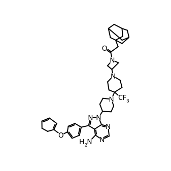 Nc1ncnc2c1c(-c1ccc(OC3=CC=CCC3)cc1)nn2C1CCN(C2(C(F)(F)F)CCN(C3CN(C(=O)CC45CC6CC(CC(C6)C4)C5)C3)CC2)CC1